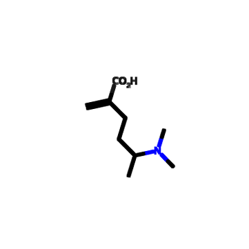 C=C(CCC(C)N(C)C)C(=O)O